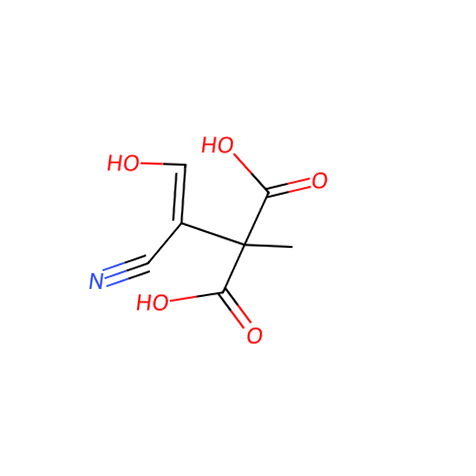 CC(C(=O)O)(C(=O)O)C(C#N)=CO